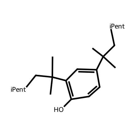 CCCC(C)CC(C)(C)c1ccc(O)c(C(C)(C)CC(C)CCC)c1